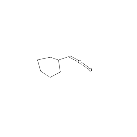 O=C=CC1CCCCC1